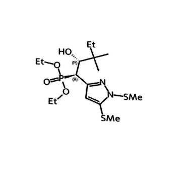 CCOP(=O)(OCC)[C@H](c1cc(SC)n(SC)n1)[C@H](O)C(C)(C)CC